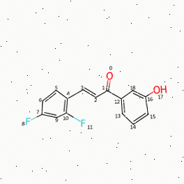 O=C(C=Cc1ccc(F)cc1F)c1cccc(O)c1